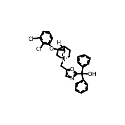 OC(c1ccccc1)(c1ccccc1)c1ncc(C[N+]23CCC(CC2)[C@@H](Oc2cccc(Cl)c2Cl)C3)o1